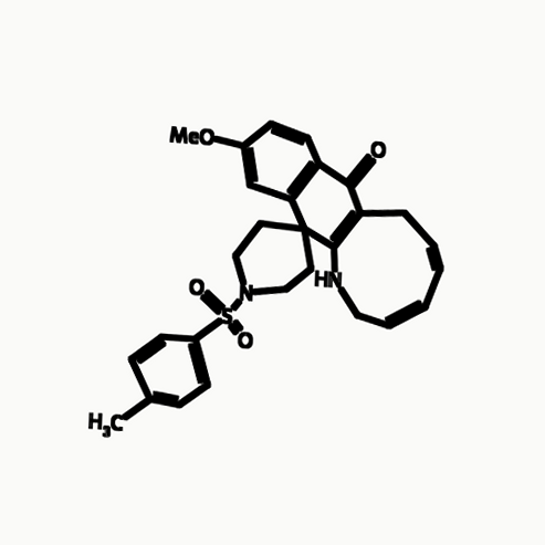 COc1ccc2c(c1)C1(CCN(S(=O)(=O)c3ccc(C)cc3)CC1)C1=C(C/C=C\C=C/CN1)C2=O